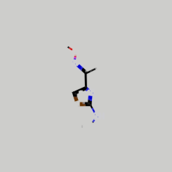 CCON=C(C=O)c1csc(NC=O)n1